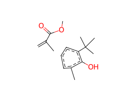 C=C(C)C(=O)OC.Cc1cccc(C(C)(C)C)c1O